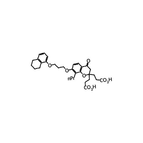 CCCc1c(OCCCOc2cccc3c2CCCC3)ccc2c1OC(CCC(=O)O)(CCC(=O)O)CC2=O